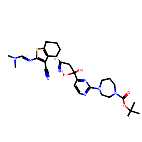 CN(C)/C=N/c1sc2c(c1C#N)[C@@H](C(=N)CC(O)(O)c1ccnc(N3CCCN(C(=O)OC(C)(C)C)CC3)n1)CCC2